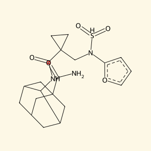 NC(=O)C12CC3CC(C1)C(NC(=O)C1(CN(c4ccco4)[SH](=O)=O)CC1)C(C3)C2